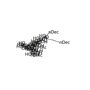 CCCCCCCCCCCCC/C=C/[C@@H](O)[C@H](CO[C@@H]1OC(CO)[C@@H](O[C@@H]2OC(CO)[C@H](O[C@@H]3OC(CO)[C@H](O)[C@H](O[C@@H]4OC(CO)[C@H](O[C@@H]5OC(CO)[C@H](O)[C@H](O[C@@H]6OC(CO)[C@H](O)[C@H](O)C6O)C5NC(C)=O)[C@H](O[C@]5(C(=O)O)CC(O)[C@@H](NC(C)=O)C([C@H](O)[C@H](O)CO)O5)C4O)C3NC(C)=O)[C@H](O)C2O)[C@H](O)C1O)NC(=O)CCCCCCCCCCCCCCCCCCCCCCC